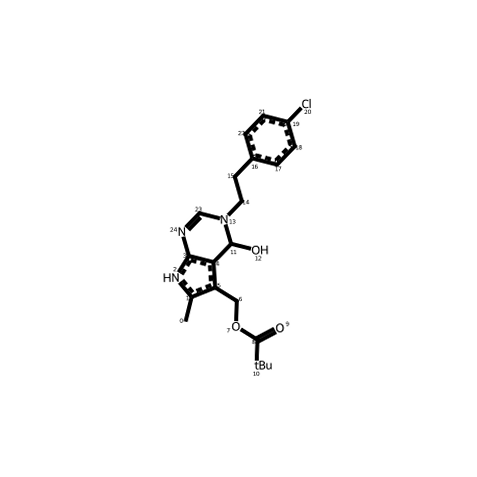 Cc1[nH]c2c(c1COC(=O)C(C)(C)C)C(O)N(CCc1ccc(Cl)cc1)C=N2